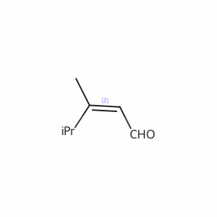 C/C(=C/C=O)C(C)C